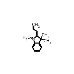 C=CC=C1N(C)c2ccccc2C1(C)C